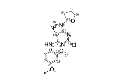 COc1ccc(Nc2nc(Cl)nc3c2ncn3C2CCCO2)c(OC)c1